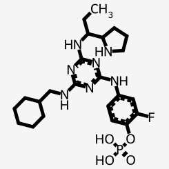 CCC(Nc1nc(NCC2CCCCC2)nc(Nc2ccc(OP(=O)(O)O)c(F)c2)n1)C1CCCN1